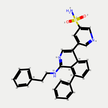 NS(=O)(=O)c1cncc(-c2cnc(NCCc3ccccc3)c3c(-c4ccccc4)cccc23)c1